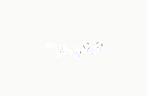 Cc1ccnc(Nc2cccc(-c3cnc(C4CCC(C(=O)NCCO)CC4)s3)n2)c1